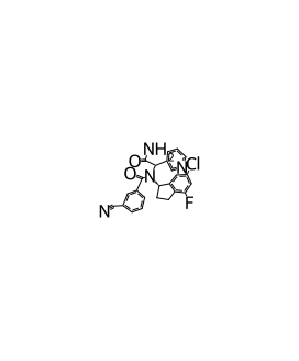 N#Cc1cccc(C(=O)N(C(C(N)=O)c2cccnc2)[C@@H]2CCc3c(F)cc(Cl)cc32)c1